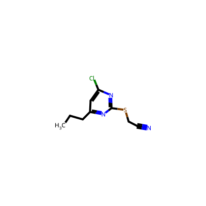 CCCc1cc(Cl)nc(SCC#N)n1